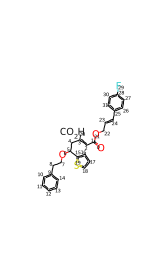 O=C(C=C(CC(OCCc1ccccc1)c1cccs1)C(=O)O)OCC=Cc1ccc(F)cc1